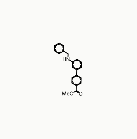 COC(=O)c1ccc(-c2cccc(NCc3ccccc3)c2)cc1